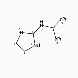 CCCC(CCC)NC1[N]CCN1